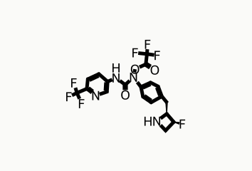 O=C(Nc1ccc(C(F)(F)F)nc1)N(OC(=O)C(F)(F)F)c1ccc(C[C@@H]2NC[C@@H]2F)cc1